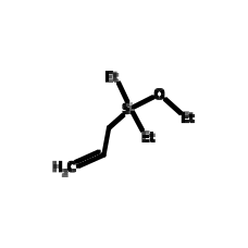 C=CC[Si](CC)(CC)OCC